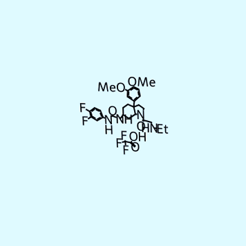 CCNCC(=O)N1CCC2(c3ccc(OC)c(OC)c3)CCC(NC(=O)Nc3ccc(F)c(F)c3)CC12.O=C(O)C(F)(F)F